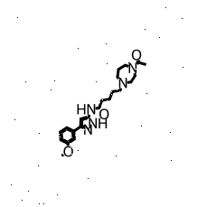 COc1cccc(-c2cc(NC(=O)CCCCN3CCCN(C(C)=O)CC3)[nH]n2)c1